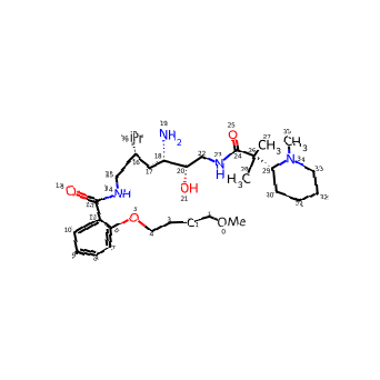 COCCCCOc1ccccc1C(=O)NC[C@@H](C[C@H](N)[C@@H](O)CNC(=O)C(C)(C)[C@H]1CCCCN1C)C(C)C